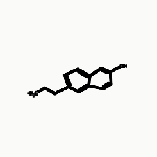 [CH2]CCc1ccc2cc(O)ccc2c1